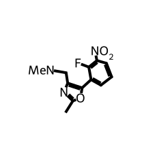 CNCc1nc(C)oc1-c1cccc([N+](=O)[O-])c1F